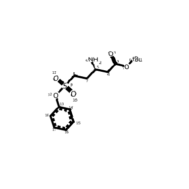 CC(C)(C)OC(=O)C[C@H](N)CCS(=O)(=O)Oc1ccccc1